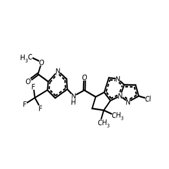 COC(=O)c1ncc(NC(=O)C2CC(C)(C)c3c2cnc2cc(Cl)nn32)cc1C(F)(F)F